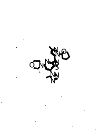 Cc1cc(-c2nsc3c(-n4ncnc4C)cc(N4CCOC[C@H]4C)nc23)n(C2CCCCO2)n1